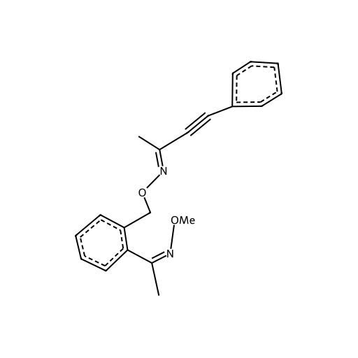 CO/N=C(/C)c1ccccc1CO/N=C(\C)C#Cc1ccccc1